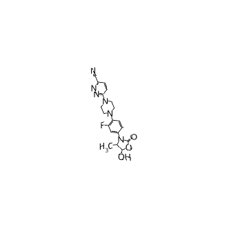 CC1[C@H](O)OC(=O)N1c1ccc(N2CCN(c3ccc(C#N)nn3)CC2)c(F)c1